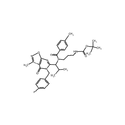 Cc1ccc(C(=O)N(CCCNC(=O)OC(C)(C)C)C(c2nc3onc(C)c3c(=O)n2Cc2ccc(F)cc2)C(C)C)cc1